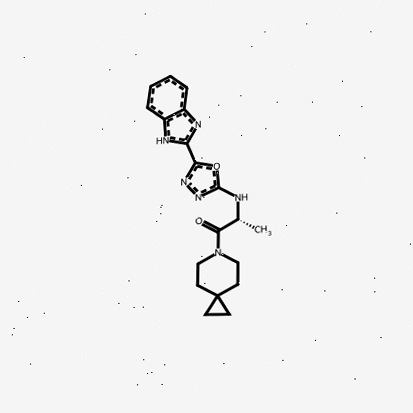 C[C@@H](Nc1nnc(-c2nc3ccccc3[nH]2)o1)C(=O)N1CCC2(CC1)CC2